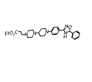 CCOC(=O)CCN1CCN(C2CCN(c3ccc(C4=NOC(c5ccccc5)N4)cc3)CC2)CC1